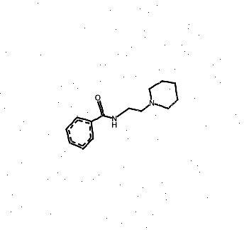 O=C(NCCN1CCCCC1)c1[c]cccc1